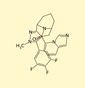 Cn1nc2c(c1-c1cc(F)c(F)c(F)c1)CC1CCCC2N1C(=O)c1cccc2cncn12